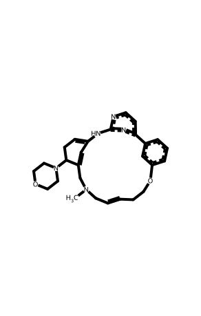 CN1C/C=C/CCOc2cccc(c2)-c2ccnc(n2)NC2=CCC(N3CCOCC3)C(=C2)C1